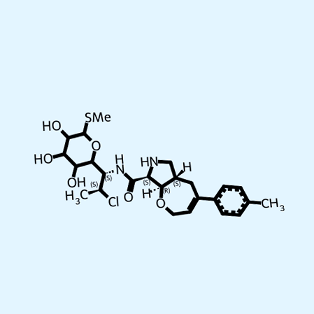 CSC1OC([C@H](NC(=O)[C@H]2NC[C@@H]3CC(c4ccc(C)cc4)=CCO[C@H]32)[C@H](C)Cl)C(O)C(O)C1O